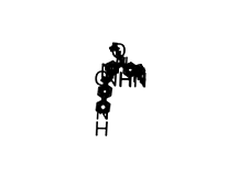 CNn1ccc2cc(N(CCOC(C)C)c3ccnc(NC(=O)c4ccc(C5CCNCC5)cc4)c3)ccc21